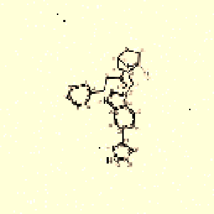 O=C(CCc1ccccc1)N1C2CC[C@H]1C(Cn1cnc3cc(-c4cn[nH]c4)ccc31)C2